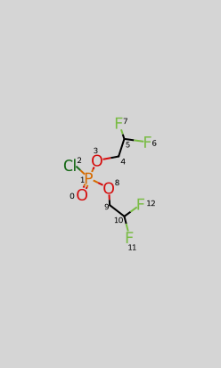 O=P(Cl)(OCC(F)F)OCC(F)F